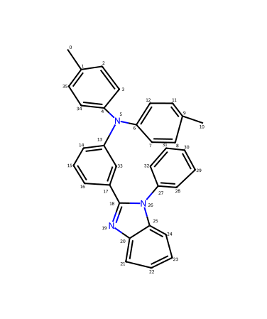 Cc1ccc(N(c2ccc(C)cc2)c2cccc(-c3nc4ccccc4n3-c3ccccc3)c2)cc1